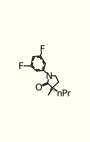 CCC[C@]1(C)CCN(c2cc(F)cc(F)c2)C1=O